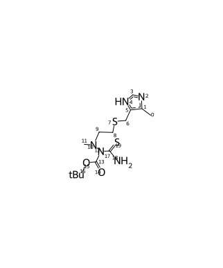 Cc1nc[nH]c1CSCCN(C)N(C(=O)OC(C)(C)C)C(N)=S